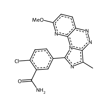 COc1ccc2nnc3c(C)nc(-c4ccc(Cl)c(C(N)=O)c4)n3c2n1